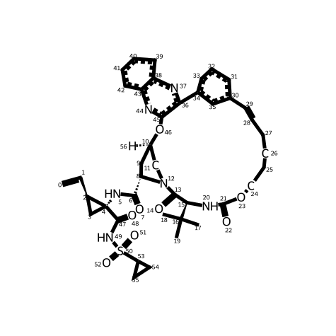 C=C[C@@H]1C[C@]1(NC(=O)[C@@H]1C[C@@H]2CN1C(=O)[C@H](C(C)(C)C)NC(=O)OCCCC/C=C/c1cccc(c1)-c1nc3ccccc3nc1O2)C(=O)NS(=O)(=O)C1CC1